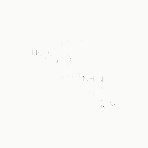 O=C(O)C(Oc1ccc(NCc2cc3c(cc2Cl)OCO3)cc1)c1ccccc1